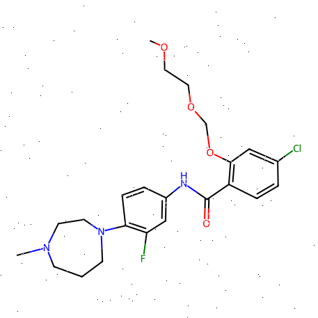 COCCOCOc1cc(Cl)ccc1C(=O)Nc1ccc(N2CCCN(C)CC2)c(F)c1